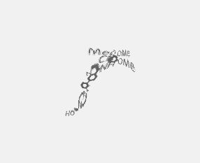 COc1cc(Nc2c(C#N)cnc3cc(-c4cccc(CN5CCN(CCO)CC5)c4)ccc23)cc(OC)c1OC